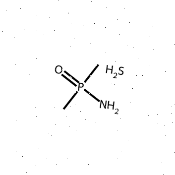 CP(C)(N)=O.S